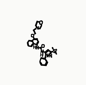 C[Si](C)(C)c1cc(NC(=O)Nc2ccc(OCCN3CCOCC3)c3ccccc23)n(-c2ccccc2)n1